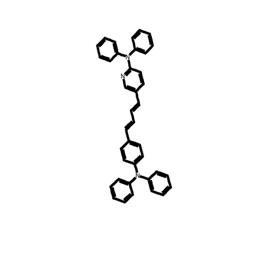 C(C=Cc1ccc(N(c2ccccc2)c2ccccc2)nc1)=Cc1ccc(N(c2ccccc2)c2ccccc2)cc1